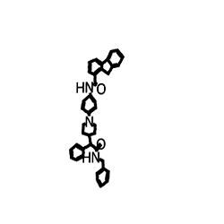 O=C(Nc1ccc(N2CCC(C(C(=O)NCc3ccccc3)c3ccccc3)CC2)cc1)c1cccc2c1Cc1ccccc1-2